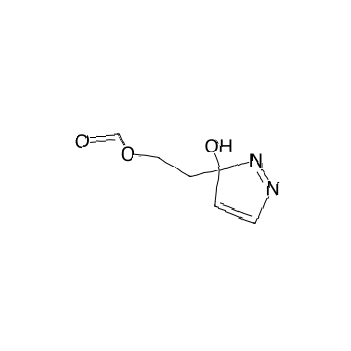 O=COCCC1(O)C=CN=N1